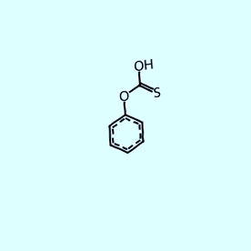 OC(=S)Oc1ccccc1